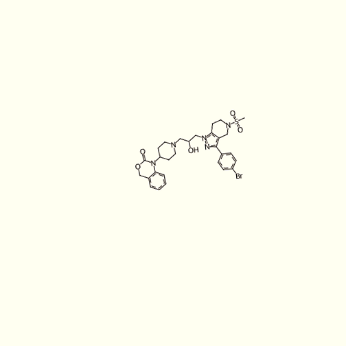 CS(=O)(=O)N1CCc2c(c(-c3ccc(Br)cc3)nn2CC(O)CN2CCC(N3C(=O)OCc4ccccc43)CC2)C1